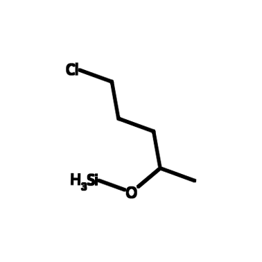 CC(CCCCl)O[SiH3]